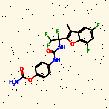 Cc1c(C(F)(NC(=O)Nc2ccc(OC(N)=O)cc2)C(F)F)oc2c(F)cc(F)cc12